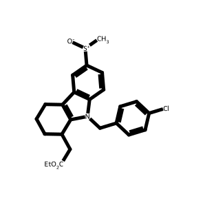 CCOC(=O)CC1CCCc2c1n(Cc1ccc(Cl)cc1)c1ccc([S+](C)[O-])cc21